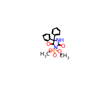 COP(=O)(OC)N1C(=O)NC(c2ccccc2)(c2ccccc2)C1=O